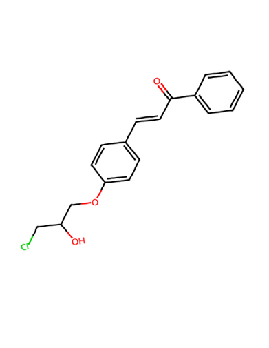 O=C(/C=C/c1ccc(OCC(O)CCl)cc1)c1ccccc1